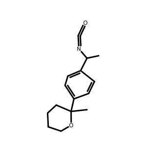 CC(N=C=O)c1ccc(C2(C)CCCCO2)cc1